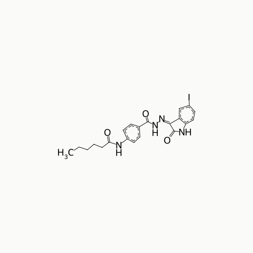 CCCCCC(=O)Nc1ccc(C(=O)N/N=C2\C(=O)Nc3ccc(I)cc32)cc1